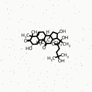 CC(C)(O)CCC(=O)C(C)(O)C1[C@H](O)C[C@@]2(C)[C@@H]3CC=C4[C@@H](C[C@H](O)C(=O)C4(C)C)[C@]3(C)C(=O)C[C@]12C